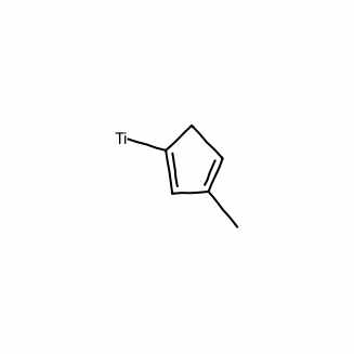 CC1=CC[C]([Ti])=C1